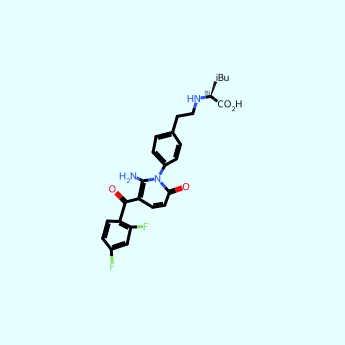 CCC(C)[C@H](NCCc1ccc(-n2c(N)c(C(=O)c3ccc(F)cc3F)ccc2=O)cc1)C(=O)O